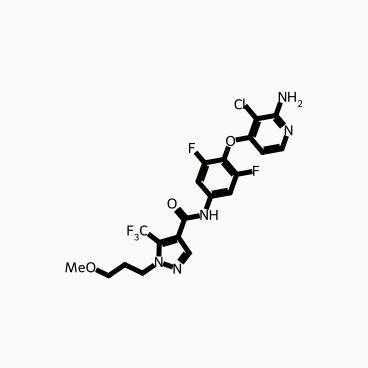 COCCCn1ncc(C(=O)Nc2cc(F)c(Oc3ccnc(N)c3Cl)c(F)c2)c1C(F)(F)F